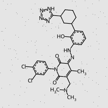 CC1=C(CN(C)C)C(=O)N(c2ccc(Cl)c(Cl)c2)C(=O)C1=NNc1cccc(C2CCCC(c3nnn[nH]3)C2)c1O